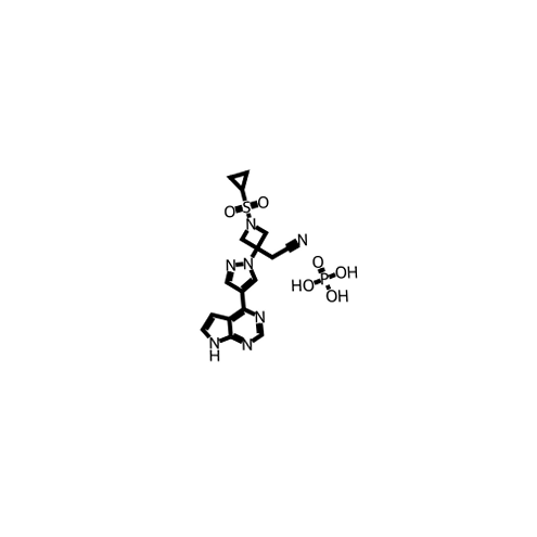 N#CCC1(n2cc(-c3ncnc4[nH]ccc34)cn2)CN(S(=O)(=O)C2CC2)C1.O=P(O)(O)O